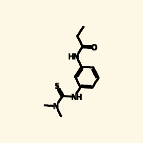 CCC(=O)Nc1cccc(NC(=S)N(C)C)c1